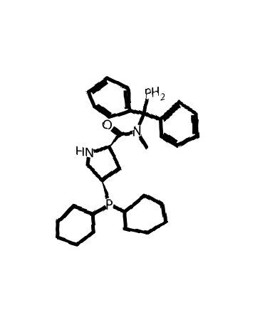 CN(C(=O)[C@H]1C[C@@H](P(C2CCCCC2)C2CCCCC2)CN1)C(P)(c1ccccc1)c1ccccc1